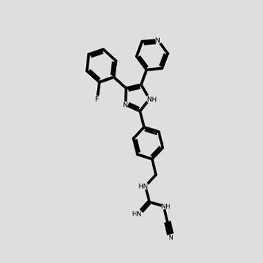 N#CNC(=N)NCc1ccc(-c2nc(-c3ccccc3F)c(-c3ccncc3)[nH]2)cc1